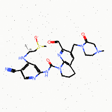 C[C@H](C[S+](C)[O-])Nc1cc(NC(=O)N2CCCc3cc(CN4CCN(C)CC4=O)c(C=O)nc32)ncc1C#N